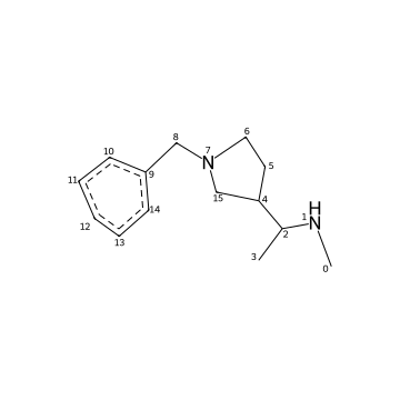 CNC(C)C1CCN(Cc2ccccc2)C1